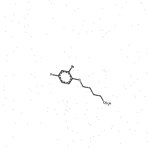 O=C(O)CCCCOc1ccc(F)cc1Br